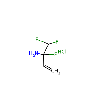 C=CC(N)(F)C(F)F.Cl